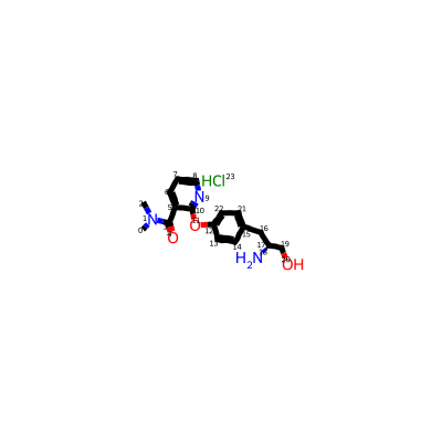 CN(C)C(=O)c1cccnc1Oc1ccc(C[C@H](N)CO)cc1.Cl